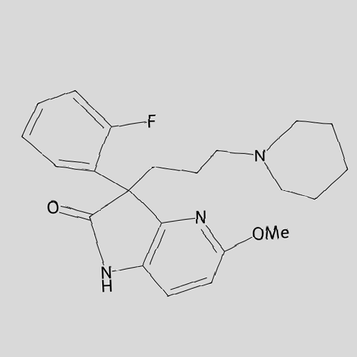 COc1ccc2c(n1)C(CCCN1CCCCC1)(c1ccccc1F)C(=O)N2